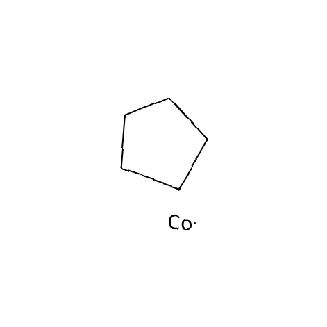 C1CCCC1.[Co]